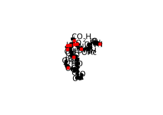 CC[C@H](C)[C@H](NC(=O)C(C)(C)N(C)C)C(=O)N(C)C(C[C@@H](OC(C)=O)c1nc(C(=O)N[C@@H](Cc2ccc(O)c(NC(=O)C(C)(C)NC(=O)C(C)NC(=O)CCN(CCN3C(=O)C=CC3=O)S(=O)(=O)CCOC(C)(C)CCOC(C)(C)C)c2)C[C@H](C)C(=O)O)cs1)C(C)C